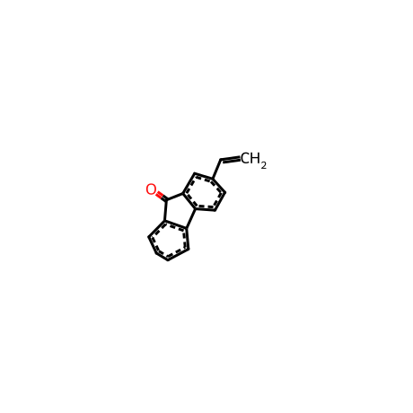 C=Cc1ccc2c(c1)C(=O)c1ccccc1-2